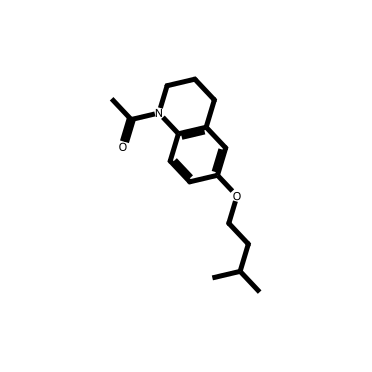 CC(=O)N1CCCc2cc(OCCC(C)C)ccc21